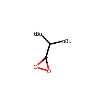 CCCCC([C]1OO1)C(C)(C)C